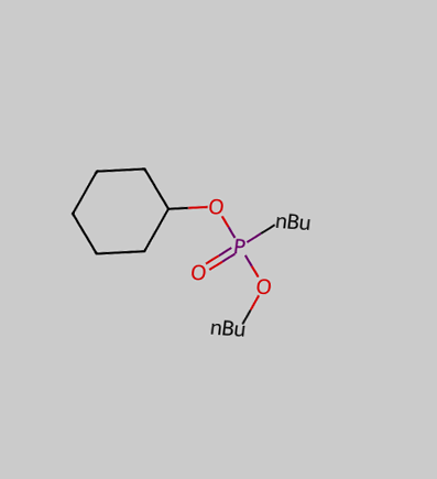 CCCCOP(=O)(CCCC)OC1CCCCC1